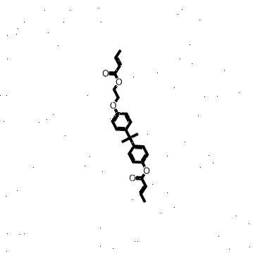 CC=CC(=O)OCCOc1ccc(C(C)(C)c2ccc(OC(=O)C=CC)cc2)cc1